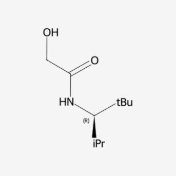 CC(C)[C@@H](NC(=O)CO)C(C)(C)C